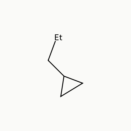 CCCC1CC1